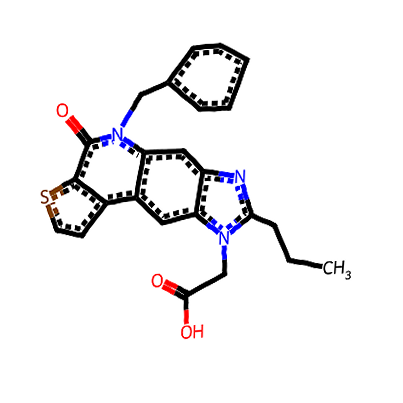 CCCc1nc2cc3c(cc2n1CC(=O)O)c1ccsc1c(=O)n3Cc1ccccc1